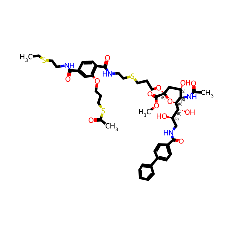 CCSCCNC(=O)c1ccc(C(=O)NCCSCCCO[C@]2(C(=O)OC)C[C@H](O)[C@@H](NC(C)=O)[C@H]([C@H](O)[C@H](O)CNC(=O)c3ccc(-c4ccccc4)cc3)O2)c(OCCCSC(C)=O)c1